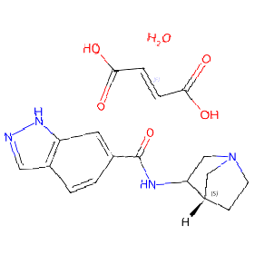 O.O=C(NC1CN2CC[C@H]1C2)c1ccc2cn[nH]c2c1.O=C(O)/C=C/C(=O)O